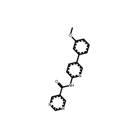 COc1cccc(-c2ccc(NC(=O)c3cncnc3)nc2)c1